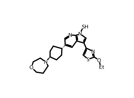 CCOc1nc(-c2cn(S)c3ncc([C@H]4CC[C@H](N5CCCOCC5)CC4)cc23)cs1